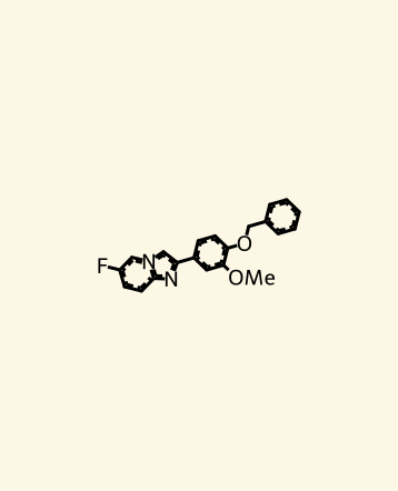 COc1cc(-c2cn3cc(F)ccc3n2)ccc1OCc1ccccc1